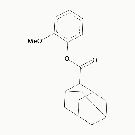 COc1ccccc1OC(=O)C1C2CC3CC(C2)CC1C3